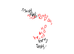 O.O.O.O.O.O.O.[InH3].[InH3].[SnH2].[SnH2].[Ta]